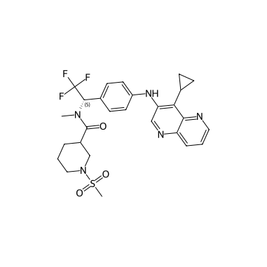 CN(C(=O)C1CCCN(S(C)(=O)=O)C1)[C@@H](c1ccc(Nc2cnc3cccnc3c2C2CC2)cc1)C(F)(F)F